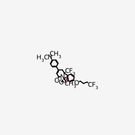 CN(C)c1ccc(C2=CC(=O)N(S(C)(=O)=O)C(c3ccc(OCCCC(F)(F)F)cc3)(C(F)(F)F)C2)cc1